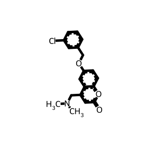 CN(C)Cc1cc(=O)oc2ccc(OCc3cccc(Cl)c3)cc12